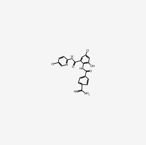 N=C(N)c1ccc(C(=O)Nc2c(O)cc(Cl)cc2C(=O)Nc2ccc(Cl)cn2)cc1